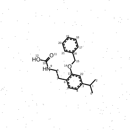 CC(C)c1ccc(CCNC(=O)O)c(OCc2ccccc2)c1